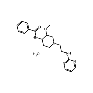 COC1CN(CCNc2ncccn2)CCC1NC(=O)c1ccccc1.O